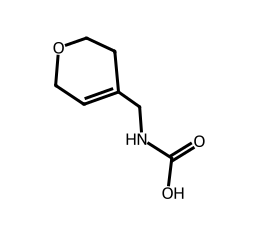 O=C(O)NCC1=CCOCC1